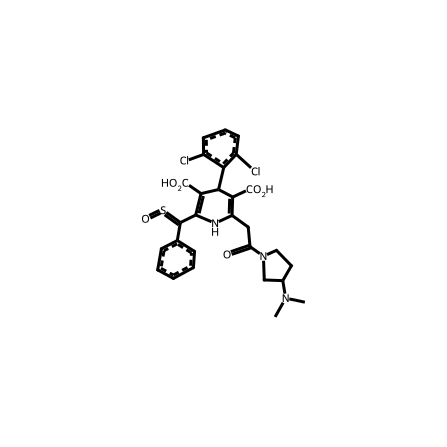 CN(C)C1CCN(C(=O)CC2=C(C(=O)O)C(c3c(Cl)cccc3Cl)C(C(=O)O)=C(C(=S=O)c3ccccc3)N2)C1